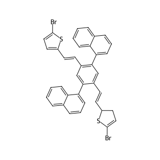 BrC1=CCC(/C=C/c2cc(-c3cccc4ccccc34)c(/C=C/c3ccc(Br)s3)cc2-c2cccc3ccccc23)S1